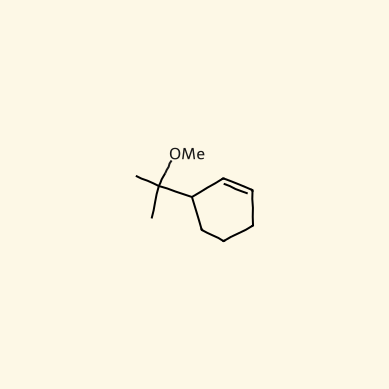 COC(C)(C)C1C=CCCC1